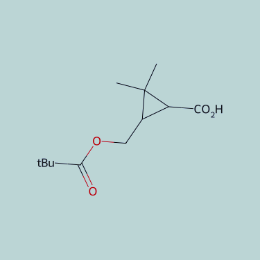 CC(C)(C)C(=O)OCC1C(C(=O)O)C1(C)C